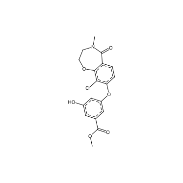 COC(=O)c1cc(O)cc(Oc2ccc3c(c2Cl)OCCN(C)C3=O)c1